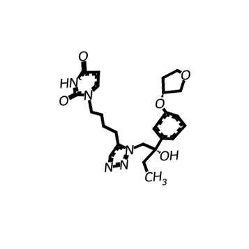 CC[C@@](O)(Cn1nncc1CCCCn1ccc(=O)[nH]c1=O)c1cccc(O[C@@H]2CCOC2)c1